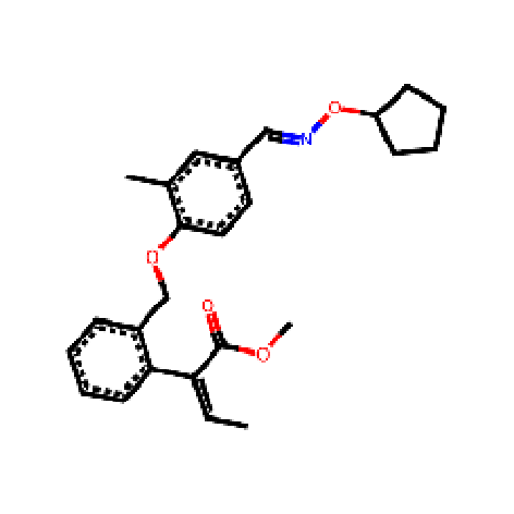 CC=C(C(=O)OC)c1ccccc1COc1ccc(C=NOC2CCCC2)cc1C